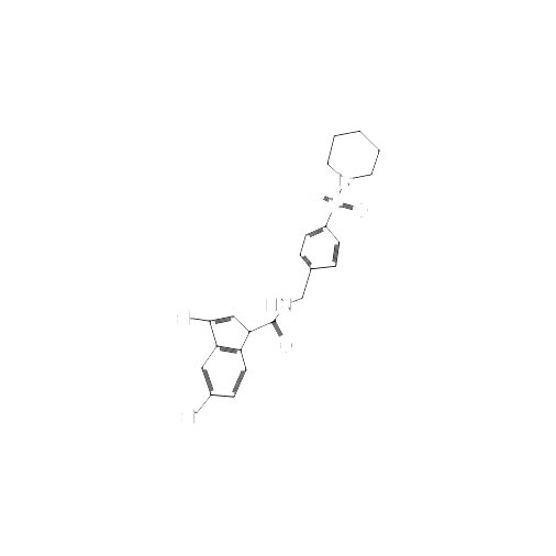 O=C(NCc1ccc(S(=O)(=O)N2CCCCC2)cc1)C1C=C(Cl)c2cc(Cl)ccc21